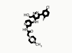 CN1CCN(CC(=O)Nc2cc(Nc3cc(-c4cc(Cl)ccc4F)nnc3CO)ccn2)CC1